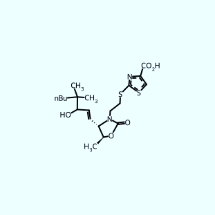 CCCCC(C)(C)C(O)/C=C/[C@H]1[C@H](C)OC(=O)N1CCSc1nc(C(=O)O)cs1